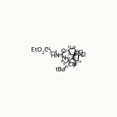 CCOC(=O)CCCNC(=O)N1C[C@@H](CC(C)(C)C)[C@](C#N)(c2ccc(Cl)cc2F)[C@H]1c1cccc(Cl)c1F